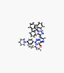 CC(C)n1c(-c2ccc(N3CCCCC3)cc2)nn2c(-c3cn(C(c4ccccc4)(c4ccccc4)c4ccccc4)cn3)cnc2c1=O